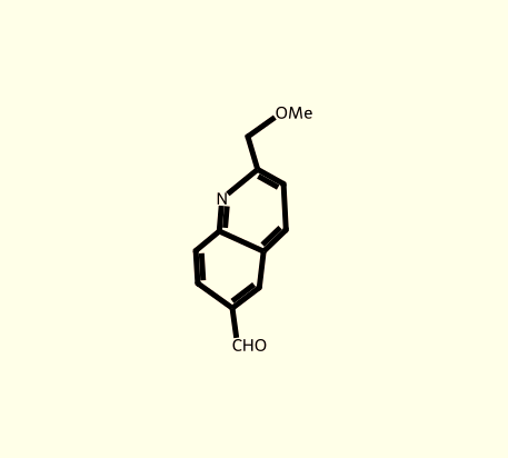 COCc1ccc2cc(C=O)ccc2n1